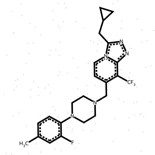 Cc1ccc(N2CCN(Cc3ccn4c(CC5CC5)nnc4c3C(F)(F)F)CC2)c(F)c1